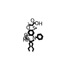 CCCCC1(CCCC)CN(c2ccccc2)c2cc(SC)c(O[C@H](C)CC(=O)O)cc2S(=O)(=O)N1